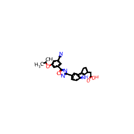 CC(C)Oc1cc(C#N)cc(-c2nc(-c3ccc4[nH]c5c(c4c3)CCC5CC(=O)O)no2)c1